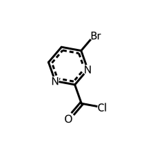 O=C(Cl)c1nccc(Br)n1